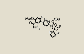 COc1cc(F)c(-c2ccc(N(CC3(c4ncccc4F)CC(F)C3)C(=O)OC(C)(C)C)nn2)cc1C(N)=O